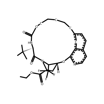 CCOC(=O)[C@@H]1C[C@H]2Oc3nccc4ccc(cc34)CCCCCOC(=O)N[C@@H](C(C)(C)C)C(=O)N1C2C(F)(F)F